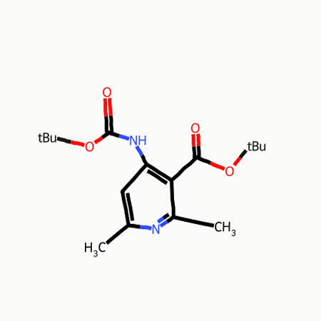 Cc1cc(NC(=O)OC(C)(C)C)c(C(=O)OC(C)(C)C)c(C)n1